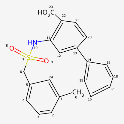 Cc1cccc(CS(=O)(=O)Nc2cc(-c3ccccc3)ccc2C(=O)O)c1